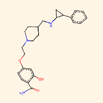 NC(=O)c1ccc(OCCN2CCC(CNC3CC3c3ccccc3)CC2)cc1O